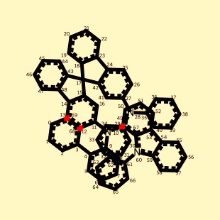 c1ccc(-c2ccccc2N(c2ccc3c(c2)C2(c4ccccc4-c4ccc(N(c5ccccc5)c5ccccc5)cc42)c2ccccc2-3)c2cccc3c4ccccc4n(-c4ccccc4)c23)cc1